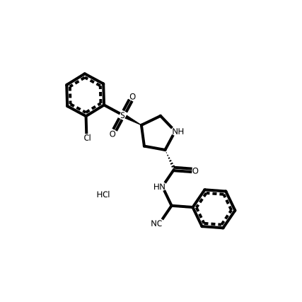 Cl.N#CC(NC(=O)[C@@H]1C[C@@H](S(=O)(=O)c2ccccc2Cl)CN1)c1ccccc1